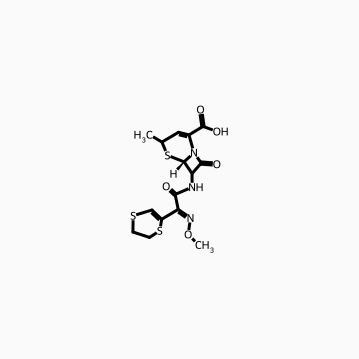 CON=C(C(=O)NC1C(=O)N2C(C(=O)O)=CC(C)S[C@@H]12)C1=CSCCS1